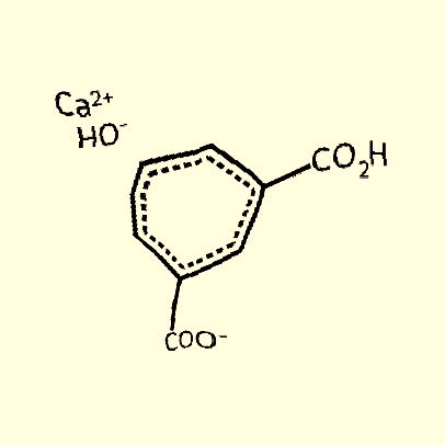 O=C([O-])c1cccc(C(=O)O)c1.[Ca+2].[OH-]